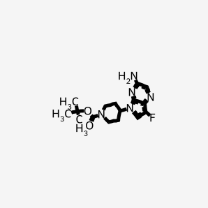 CC(C)(C)OC(=O)N1CCC(n2cc(F)c3ncc(N)nc32)CC1